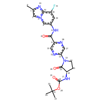 Cc1cn2cc(NC(=O)c3cnc(N4CC[C@@H](NC(=O)OC(C)(C)C)C4=O)cn3)cc(F)c2n1